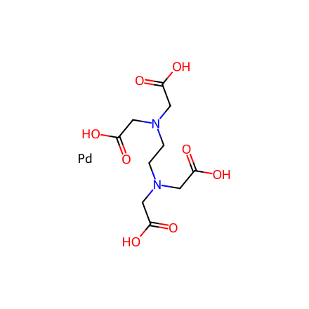 O=C(O)CN(CCN(CC(=O)O)CC(=O)O)CC(=O)O.[Pd]